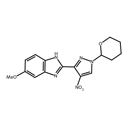 COc1ccc2[nH]c(-c3nn(C4CCCCO4)cc3[N+](=O)[O-])nc2c1